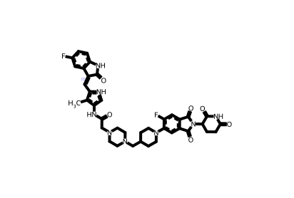 Cc1c(NC(=O)CN2CCN(CC3CCN(c4cc5c(cc4F)C(=O)N(C4CCC(=O)NC4=O)C5=O)CC3)CC2)c[nH]c1/C=C1\C(=O)Nc2ccc(F)cc21